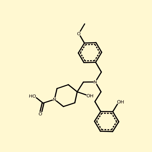 COc1ccc(CN(CCc2ccccc2O)CC2(O)CCN(C(=O)O)CC2)cc1